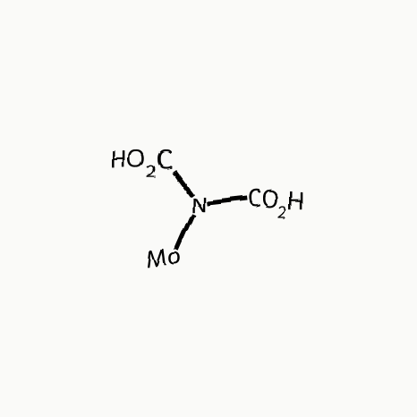 O=C(O)[N]([Mo])C(=O)O